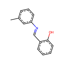 Cc1cccc(N=Cc2ccccc2O)c1